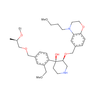 CCO[C@H](C)COCc1ccc([C@@]2(O)CCNC[C@@H]2OCc2ccc3c(c2)N(CCCOC)CCO3)c(COC)c1